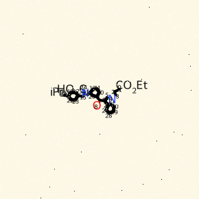 CCOC(=O)CCCn1cc(C(=O)c2cccc(N(Cc3ccc(CC(C)C)cc3)C(=O)O)c2)c2ccccc21